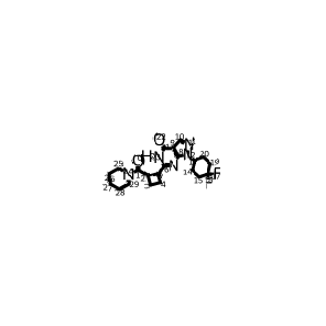 O=C(C1CCC1c1nc2c(cnn2C2CCC(F)(F)CC2)c(=O)[nH]1)N1CCCCC1